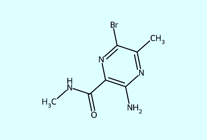 CNC(=O)c1nc(Br)c(C)nc1N